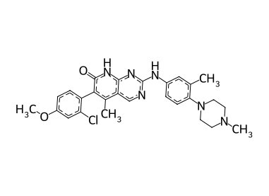 COc1ccc(-c2c(C)c3cnc(Nc4ccc(N5CCN(C)CC5)c(C)c4)nc3[nH]c2=O)c(Cl)c1